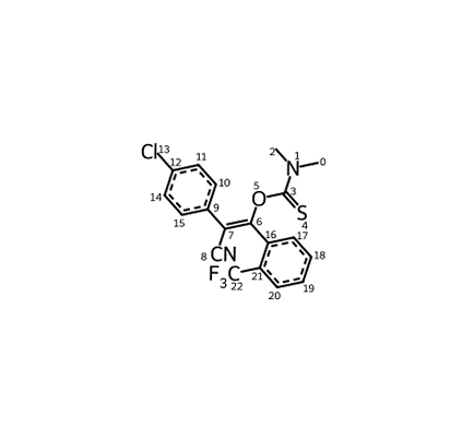 CN(C)C(=S)OC(=C(C#N)c1ccc(Cl)cc1)c1ccccc1C(F)(F)F